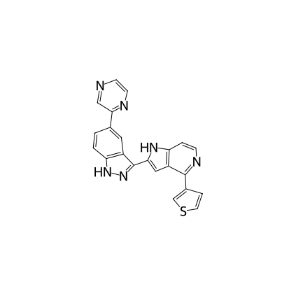 c1cnc(-c2ccc3[nH]nc(-c4cc5c(-c6ccsc6)nccc5[nH]4)c3c2)cn1